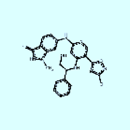 Cc1noc(-c2cnc(Nc3ccc4c(=O)[nH]n(C)c4c3)cc2N[C@H](CO)c2ccccc2)n1